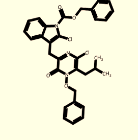 CC(C)Cc1c(Cl)nc(Cc2c(Cl)n(C(=O)OCc3ccccc3)c3ccccc23)c(=O)n1OCc1ccccc1